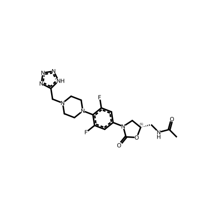 CC(=O)NC[C@H]1CN(c2cc(F)c(N3CCN(Cc4nnn[nH]4)CC3)c(F)c2)C(=O)O1